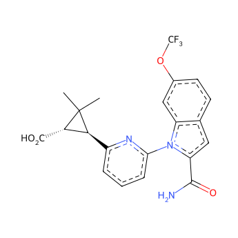 CC1(C)[C@@H](C(=O)O)[C@@H]1c1cccc(-n2c(C(N)=O)cc3ccc(OC(F)(F)F)cc32)n1